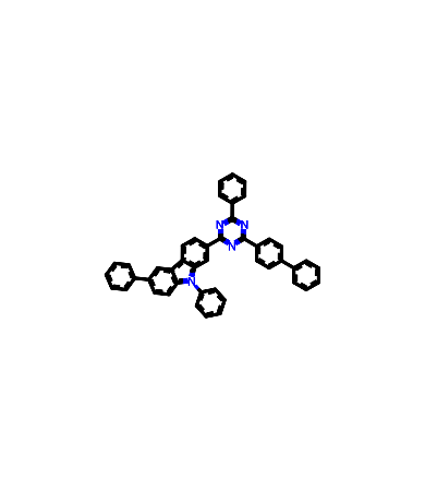 c1ccc(-c2ccc(-c3nc(-c4ccccc4)nc(-c4ccc5c6cc(-c7ccccc7)ccc6n(-c6ccccc6)c5c4)n3)cc2)cc1